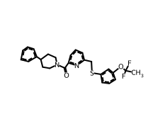 CC(F)(F)Oc1cccc(SCc2cccc(C(=O)N3CCC(c4ccccc4)CC3)n2)c1